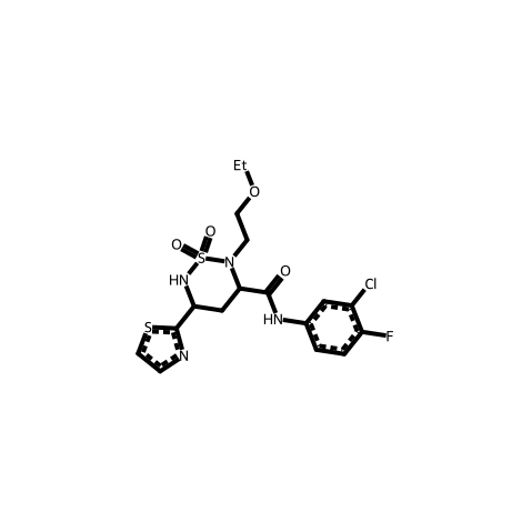 CCOCCN1C(C(=O)Nc2ccc(F)c(Cl)c2)CC(c2nccs2)NS1(=O)=O